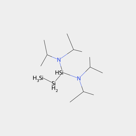 CC(C)N(C(C)C)[SiH]([SiH2][SiH3])N(C(C)C)C(C)C